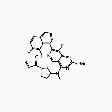 C=CC(=O)N1CCC(N(C)c2nc(OC)nc3c(F)c(-c4cccc5ccc(F)c(F)c45)ncc23)C1